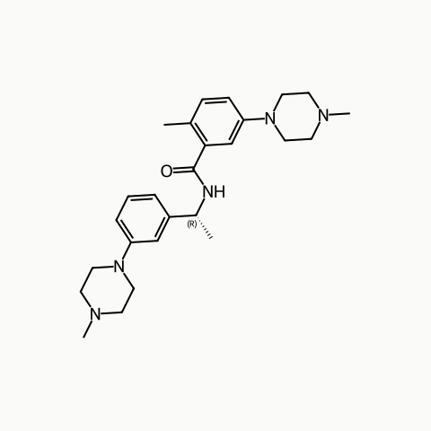 Cc1ccc(N2CCN(C)CC2)cc1C(=O)N[C@H](C)c1cccc(N2CCN(C)CC2)c1